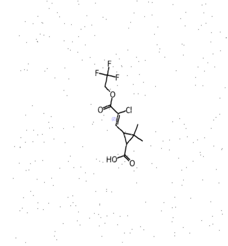 CC1(C)C(/C=C(\Cl)C(=O)OCC(F)(F)F)C1C(=O)O